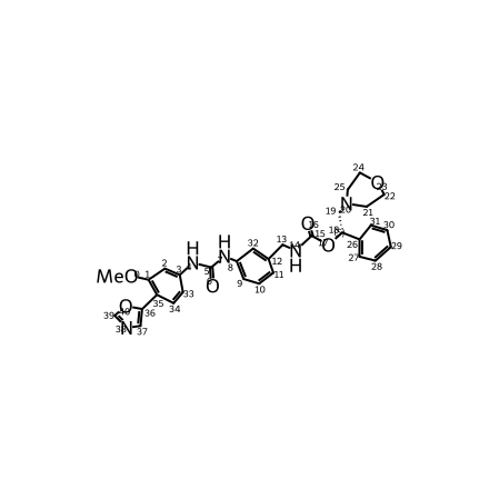 COc1cc(NC(=O)Nc2cccc(CNC(=O)O[C@H](CN3CCOCC3)c3ccccc3)c2)ccc1-c1cnco1